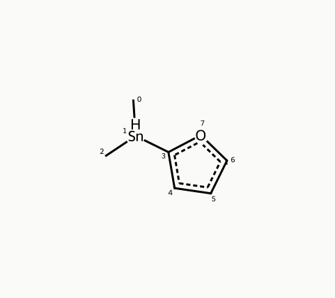 [CH3][SnH]([CH3])[c]1cc[c]o1